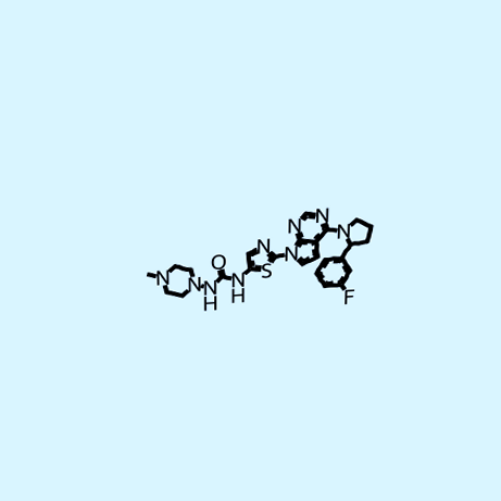 CN1CCN(NC(=O)Nc2cnc(-n3ccc4c(N5CCCC5c5cccc(F)c5)ncnc43)s2)CC1